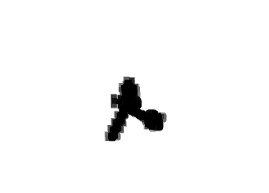 C=C[C@@H](C#CC#C[C@@H](CCCCCCCCC)NC(=O)c1ccc(C)cc1)OC(C)=O